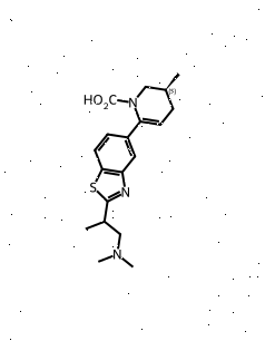 CC(CN(C)C)c1nc2cc(C3=CC[C@H](C)CN3C(=O)O)ccc2s1